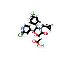 O=C(O)C[C@@H]1O[C@H](c2ccnc(Cl)c2)[C@@H](c2ccc(Cl)cc2)N(CC2CC2)C1=O